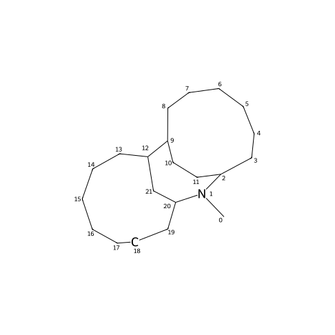 CN1C2CCCCCCC(CC2)C2CCCCCCCC1C2